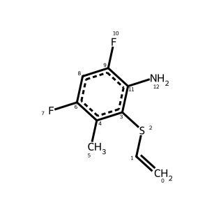 C=CSc1c(C)c(F)cc(F)c1N